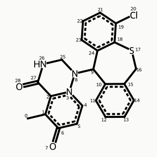 Cc1c2n(ccc1=O)N(C1c3ccccc3CSc3c(Cl)cccc31)CNC2=O